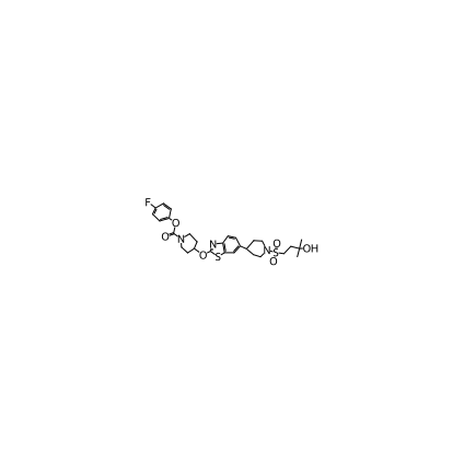 CC(C)(O)CCS(=O)(=O)N1CCC(c2ccc3nc(OC4CCN(C(=O)Oc5ccc(F)cc5)CC4)sc3c2)CC1